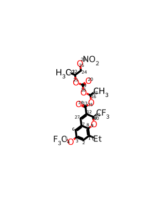 CCc1cc(OC(F)(F)F)cc2c1O[C@H](C(F)(F)F)C(C(=O)OC(C)OC(=O)OC(C)CO[N+](=O)[O-])=C2